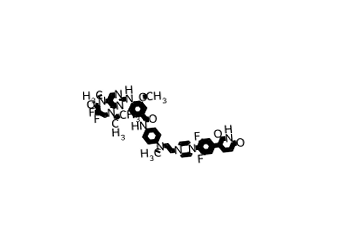 COc1cc(C(=O)N[C@H]2CC[C@H](N(C)CCN3CCN(c4c(F)cc(C5CCC(=O)NC5=O)cc4F)CC3)CC2)ccc1Nc1ncc2c(n1)N(C(C)C)CC(F)(F)C(=O)N2C